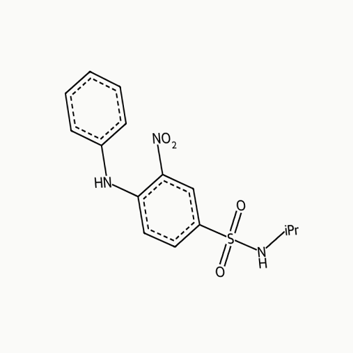 CC(C)NS(=O)(=O)c1ccc(Nc2ccccc2)c([N+](=O)[O-])c1